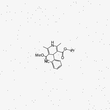 COC(=O)C1=C(C)NC(C)=C(C(=O)OC(C)C)C1c1ccccc1C#N